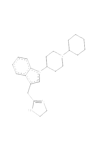 c1ccc2c(c1)c(CC1=NCCN1)cn2C1CCN(C2CCCCC2)CC1